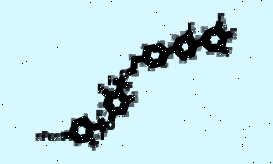 CCCCCc1ccc(C(F)(F)Oc2cc(F)c(C(F)(F)OCCc3ccc(-c4ccc(-c5cc(F)c(F)c(F)c5)c(F)c4)cc3)c(F)c2)c(F)c1